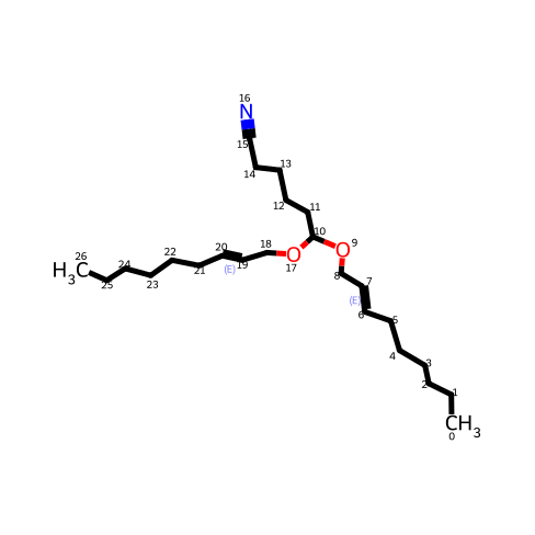 CCCCCC/C=C/COC(CCCCC#N)OC/C=C/CCCCCC